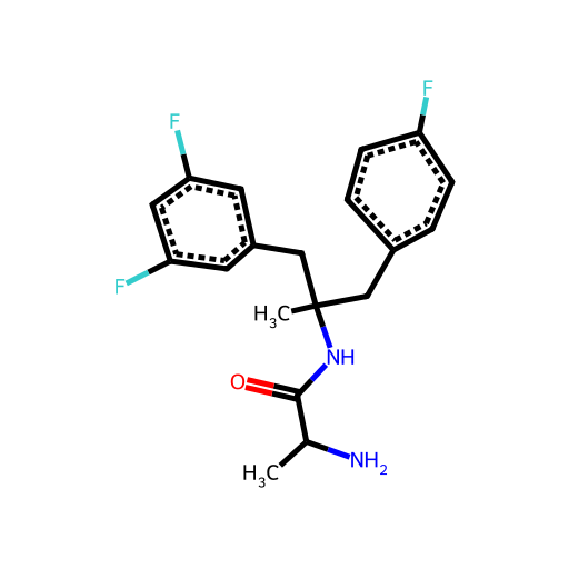 CC(N)C(=O)NC(C)(Cc1ccc(F)cc1)Cc1cc(F)cc(F)c1